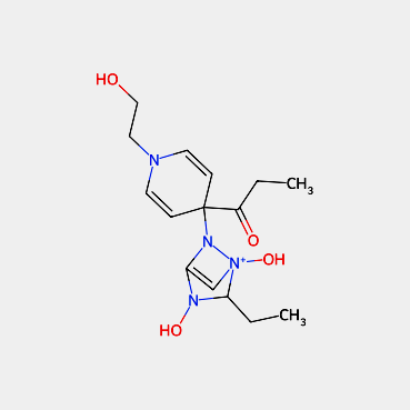 CCC(=O)C1(N2C3=C[N+]2(O)C(CC)N3O)C=CN(CCO)C=C1